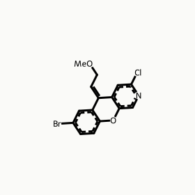 COC/C=C1/c2cc(Br)ccc2Oc2cnc(Cl)cc21